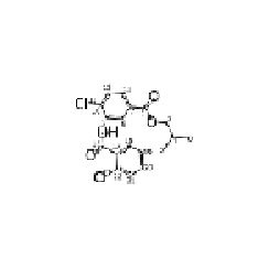 CC(C)COC(=O)c1ccc(Cl)cc1.O=C(O)c1ccccc1Cl